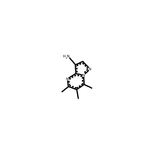 Cc1nc2c(N)cnn2c(C)c1C